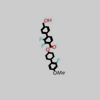 COc1ccc(C2CCC(OC(=O)c3ccc(-c4ccc(CO)cc4)c(F)c3F)CC2)c(F)c1